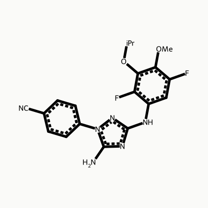 COc1c(F)cc(Nc2nc(N)n(-c3ccc(C#N)cc3)n2)c(F)c1OC(C)C